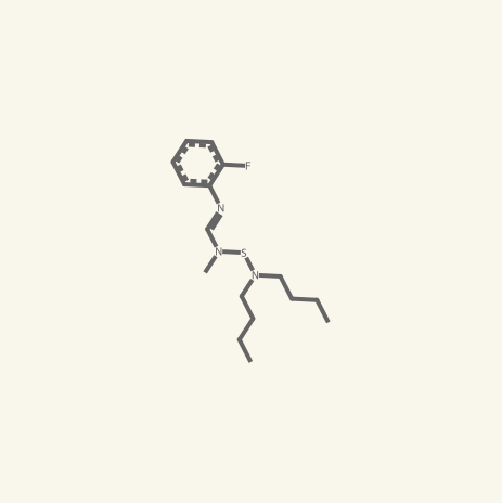 CCCCN(CCCC)SN(C)C=Nc1ccccc1F